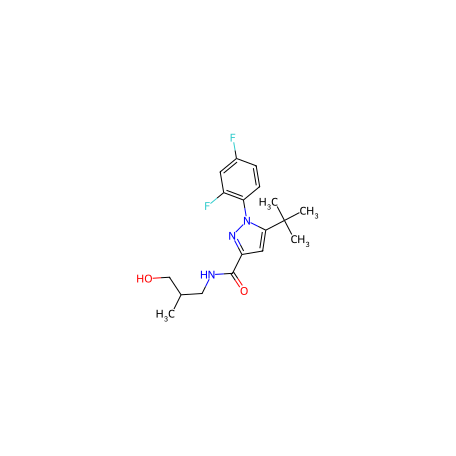 CC(CO)CNC(=O)c1cc(C(C)(C)C)n(-c2ccc(F)cc2F)n1